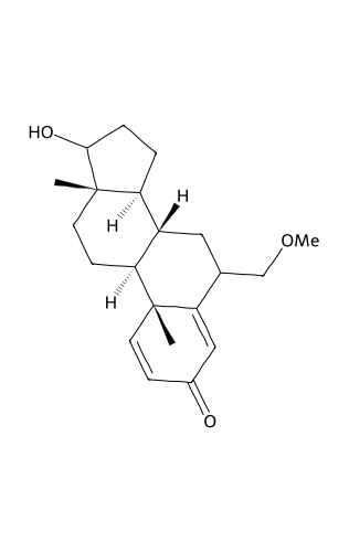 COCC1C[C@@H]2[C@H](CC[C@]3(C)C(O)CC[C@@H]23)[C@@]2(C)C=CC(=O)C=C12